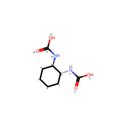 O=C(O)N[C@@H]1CCCC[C@H]1NC(=O)O